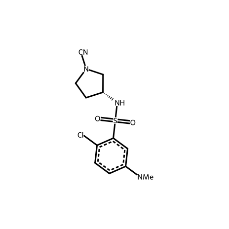 CNc1ccc(Cl)c(S(=O)(=O)N[C@@H]2CCN(C#N)C2)c1